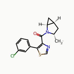 [CH2][C@H]1C[C@@H]2C[C@@H]2N1C(=O)c1ncsc1-c1cccc(Cl)c1